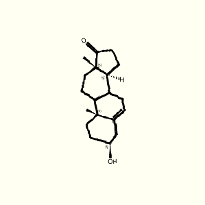 C[C@]12CC[C@H](O)CC1=CCC1C2CC[C@]2(C)C(=O)CC[C@@H]12